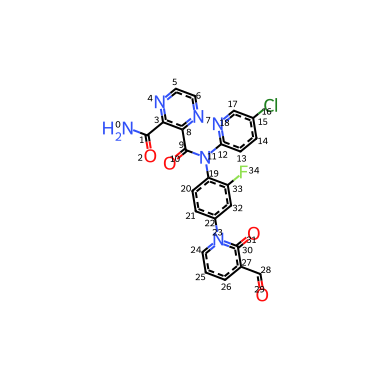 NC(=O)c1nccnc1C(=O)N(c1ccc(Cl)cn1)c1ccc(-n2cccc(C=O)c2=O)cc1F